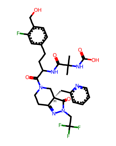 CC(C)(NC(=O)O)C(=O)NC(CCc1ccc(CO)c(F)c1)C(=O)N1CCC2=NN(CC(F)(F)F)C(=O)[C@]2(Cc2ccccn2)C1